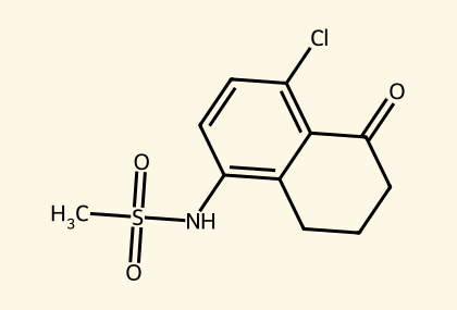 CS(=O)(=O)Nc1ccc(Cl)c2c1CCCC2=O